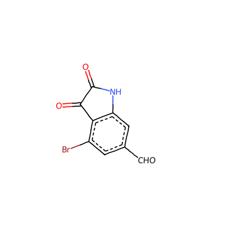 O=Cc1cc(Br)c2c(c1)NC(=O)C2=O